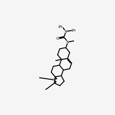 CC1C2CCC3C4CC=C5CC(N(C)C(=O)N(C(C)C)C(C)C)CCC5(C)C4CCC32CN1C